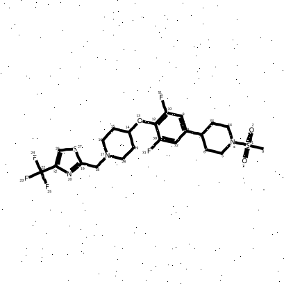 CS(=O)(=O)N1CCC(c2cc(F)c(OC3CCN(Cc4nc(C(F)(F)F)cs4)CC3)c(F)c2)CC1